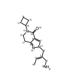 NCC(=CF)Cn1cc2c(n1)CCN(C1CCC1)C2=O